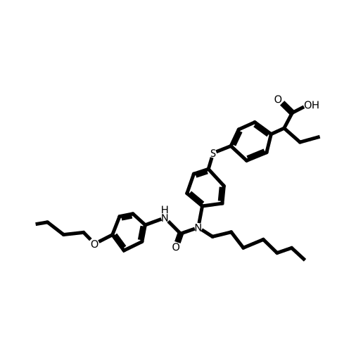 CCCCCCCN(C(=O)Nc1ccc(OCCCC)cc1)c1ccc(Sc2ccc(C(CC)C(=O)O)cc2)cc1